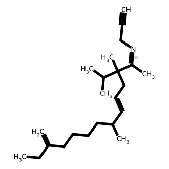 C#CC/N=C(/C)C(C)(CC=CC(C)CCCCC(=C)CC)C(C)C